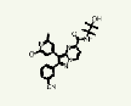 Cc1cc(-c2c(-c3cccc(C#N)c3)nn3ccc(C(=O)NC(C)(C)C(C)(C)O)nc23)cc(Cl)n1